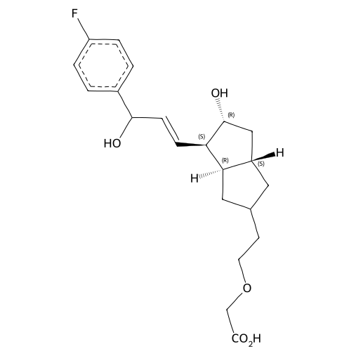 O=C(O)COCCC1C[C@H]2C[C@@H](O)[C@H](C=CC(O)c3ccc(F)cc3)[C@@H]2C1